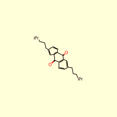 CC(C)CCCc1ccc2c(c1)C(=O)c1ccc(CCCC(C)C)cc1C2=O